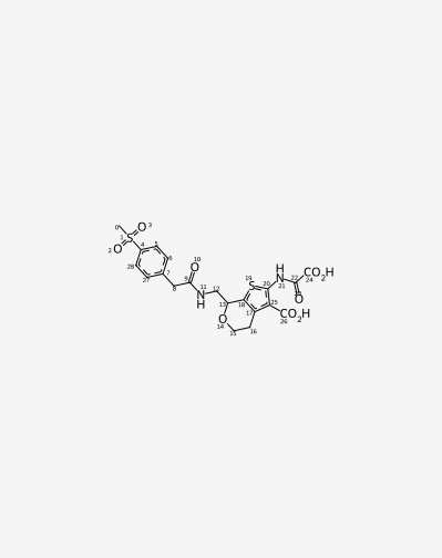 CS(=O)(=O)c1ccc(CC(=O)NCC2OCCc3c2sc(NC(=O)C(=O)O)c3C(=O)O)cc1